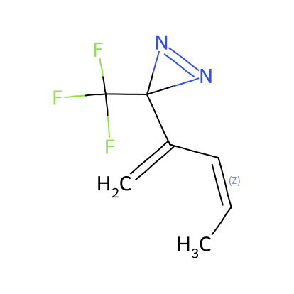 C=C(/C=C\C)C1(C(F)(F)F)N=N1